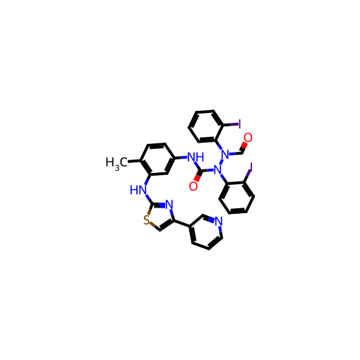 Cc1ccc(NC(=O)N(c2ccccc2I)N(C=O)c2ccccc2I)cc1Nc1nc(-c2cccnc2)cs1